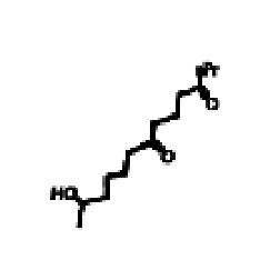 CCCC(=O)CCCC(=O)CCCCC(C)O